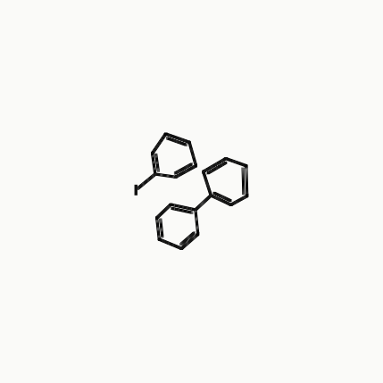 Ic1ccccc1.c1ccc(-c2ccccc2)cc1